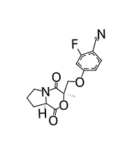 C[C@]1(COc2ccc(C#N)c(F)c2)OC(=O)[C@H]2CCCN2C1=O